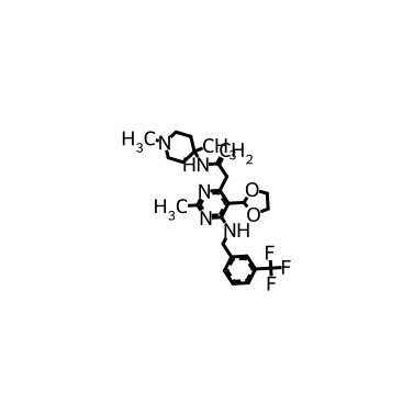 C=C(Cc1nc(C)nc(NCc2cccc(C(F)(F)F)c2)c1C1OCCO1)NC1(C)CCN(C)CC1